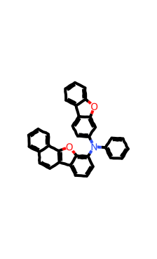 c1ccc(N(c2ccc3c(c2)oc2ccccc23)c2cccc3c2oc2c4ccccc4ccc32)cc1